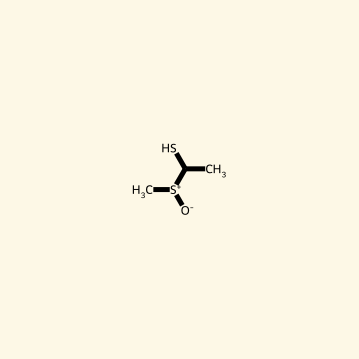 CC(S)[S+](C)[O-]